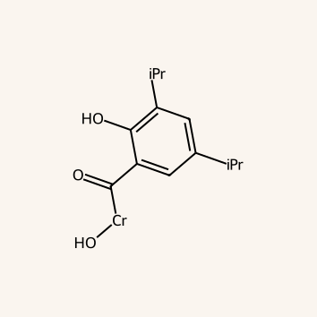 CC(C)c1cc([C](=O)[Cr][OH])c(O)c(C(C)C)c1